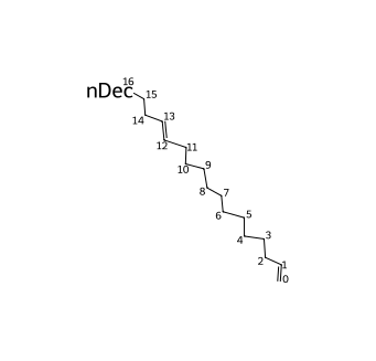 C=CCCCCCCCCCCC=CCCCCCCCCCCCC